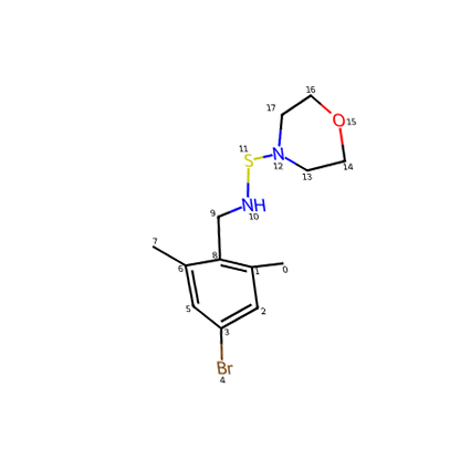 Cc1cc(Br)cc(C)c1CNSN1CCOCC1